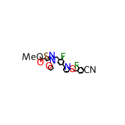 COC(=O)c1cc2c(nc(Cc3ccc(-c4cccc(OCc5ccc(C#N)cc5F)n4)cc3F)n2C[C@@H]2CCCO2)s1